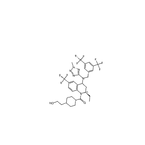 CC[C@@H]1CC(N(Cc2cc(C(F)(F)F)cc(C(F)(F)F)c2)c2nnn(C)n2)c2cc(C(F)(F)F)ccc2N1C(=O)C1CCC(CCO)CC1